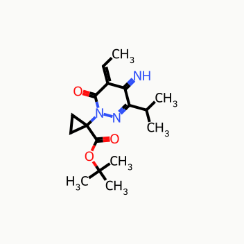 C/C=C1\C(=N)C(C(C)C)=NN(C2(C(=O)OC(C)(C)C)CC2)C1=O